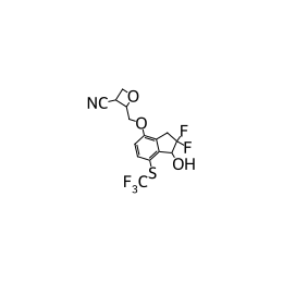 N#CC1COC1COc1ccc(SC(F)(F)F)c2c1CC(F)(F)C2O